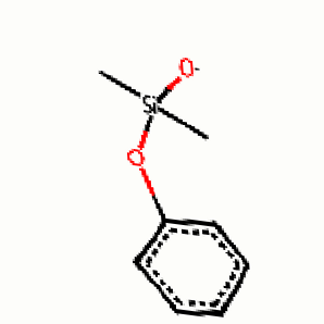 C[Si](C)([O])Oc1ccccc1